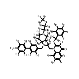 [2H]c1c([2H])c(F)c(F)c(C([2H])([2H])Sc2c([2H])c(=O)c3c([2H])c(C)c([2H])c([2H])c3n2CC(=O)N(Cc2c([2H])c([2H])c(-c3c([2H])c([2H])c(C(F)(F)F)c([2H])c3[2H])c([2H])c2[2H])C2([2H])C([2H])([2H])C([2H])([2H])N(C([2H])([2H])C([2H])([2H])OC([2H])([2H])[2H])C([2H])([2H])C2([2H])[2H])c1[2H]